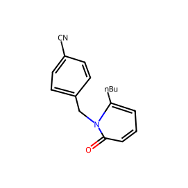 CCCCc1cccc(=O)n1Cc1ccc(C#N)cc1